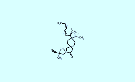 C=C(/N=C\C=C/C)[C@]1(N(C)C)CC[C@@]2(CC1)CC(=O)N(CC(C)(C)C#N)C2